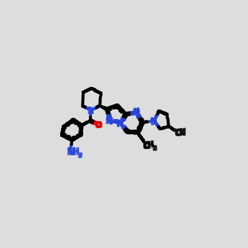 Cc1cn2nc([C@@H]3CCCCN3C(=O)c3cccc(N)c3)cc2nc1N1CCC(C#N)C1